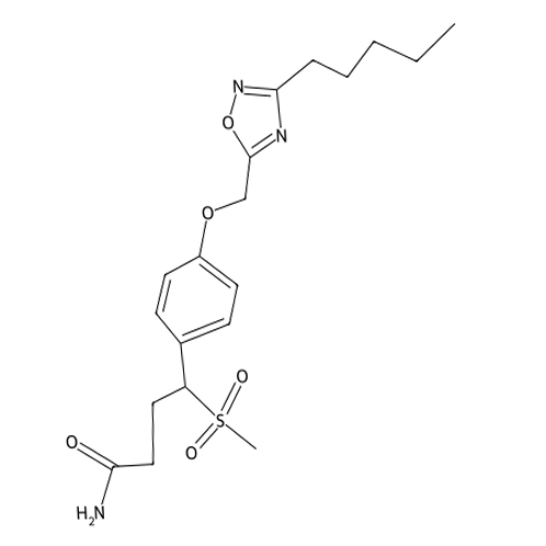 CCCCCc1noc(COc2ccc(C(CCC(N)=O)S(C)(=O)=O)cc2)n1